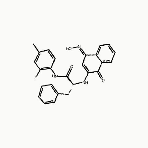 Cc1ccc(NC(=O)[C@@H](Cc2ccccc2)NC2=CC(=NO)c3ccccc3C2=O)c(F)c1